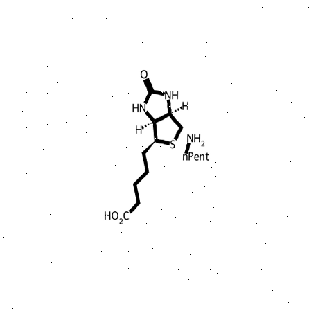 CCCCCN.O=C(O)CCCC[C@@H]1SC[C@@H]2NC(=O)N[C@@H]21